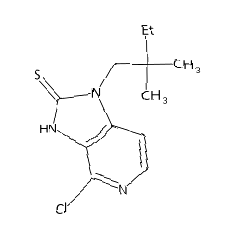 CCC(C)(C)Cn1c(=S)[nH]c2c(Cl)nccc21